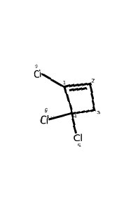 ClC1=CCC1(Cl)Cl